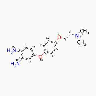 CN(C)CCOc1ccc(Oc2ccc(N)c(N)c2)cc1